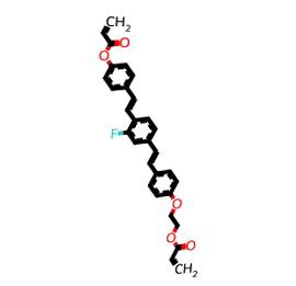 C=CC(=O)OCCOc1ccc(/C=C/c2ccc(/C=C/c3ccc(OC(=O)C=C)cc3)c(F)c2)cc1